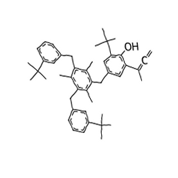 C=C=C(C)c1cc(Cc2c(C)c(Cc3cccc(C(C)(C)C)c3)c(C)c(Cc3cccc(C(C)(C)C)c3)c2C)cc(C(C)(C)C)c1O